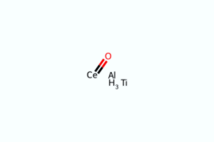 [AlH3].[O]=[Ce].[Ti]